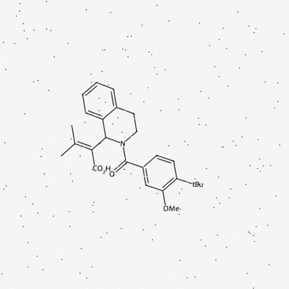 COc1cc(C(=O)N2CCc3ccccc3C2C(C(=O)O)=C(C)C)ccc1C(C)(C)C